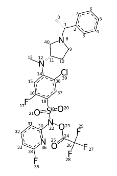 C[C@H](c1ccccc1)N1CC[C@H](N(C)c2cc(F)c(S(=O)(=O)N(OC(=O)C(F)(F)F)c3cccc(F)n3)cc2Cl)C1